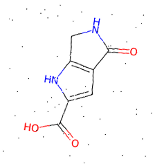 O=C(O)c1cc2c([nH]1)CNC2=O